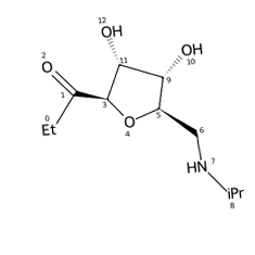 CCC(=O)[C@@H]1O[C@H](CNC(C)C)[C@@H](O)[C@H]1O